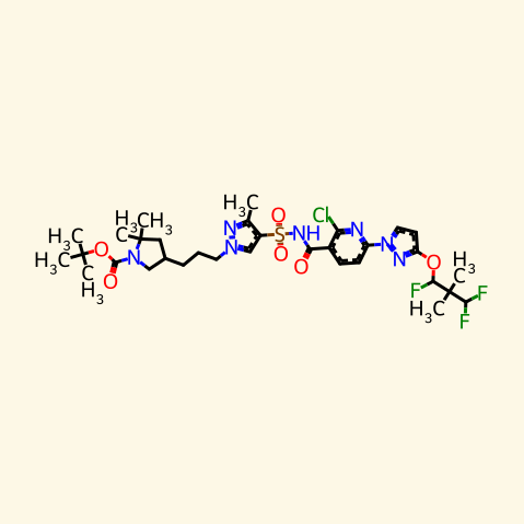 Cc1nn(CCCC2CN(C(=O)OC(C)(C)C)C(C)(C)C2)cc1S(=O)(=O)NC(=O)c1ccc(-n2ccc(OC(F)C(C)(C)C(F)F)n2)nc1Cl